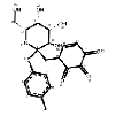 Cc1ccc(S[C@]2(CC3C=CC(=O)C(=O)C3=O)O[C@H](CO)[C@H](O)[C@H](O)[C@H]2O)cc1